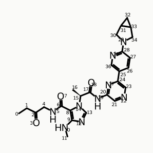 CCC(=O)CNC(=O)c1c(NC)ncn1[C@@H](C)C(=O)Nc1cncc(-c2ccc(N3CC4CC4C3)nc2)n1